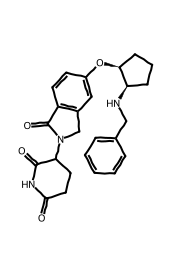 O=C1CCC(N2Cc3cc(O[C@H]4CCC[C@H]4NCc4ccccc4)ccc3C2=O)C(=O)N1